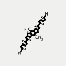 Cc1c2c(c(C)c3c1-c1sc(-c4cc5sc(C#N)cc5s4)cc1C3)-c1sc(-c3cc4sc(C#N)cc4s3)cc1C2